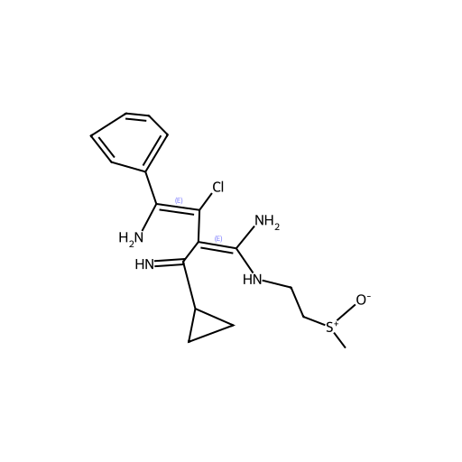 C[S+]([O-])CCN/C(N)=C(C(=N)C1CC1)/C(Cl)=C(\N)c1ccccc1